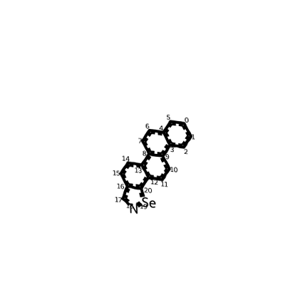 c1ccc2c(c1)ccc1c2ccc2c1ccc1cn[se]c12